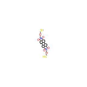 O=C1c2ccc3c4ccc5c6c(ccc(c7ccc(c2c37)C(=O)N1CCOCCS)c64)C(=O)N(CCOCCS)C5=O